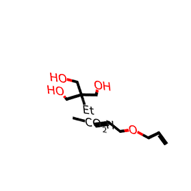 C=CCOCC=C.CC(=O)O.CCC(CO)(CO)CO